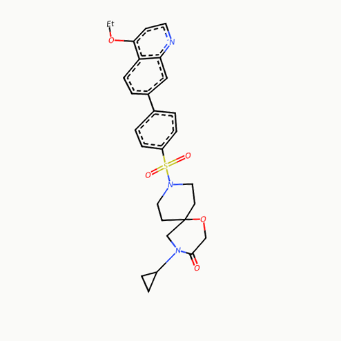 CCOc1ccnc2cc(-c3ccc(S(=O)(=O)N4CCC5(CC4)CN(C4CC4)C(=O)CO5)cc3)ccc12